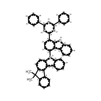 CC1(C)c2ccccc2-c2c1ccc1c2c2ccccc2n1-c1ccc(-c2nc(-c3ccccc3)nc(-c3ccccc3)n2)c2oc3ccccc3c12